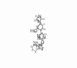 C[C@]12CCCC(N1)[C@@H](F)[C@H](Oc1ncc(-c3ccc(-n4ccnc4)cc3O)nn1)C2